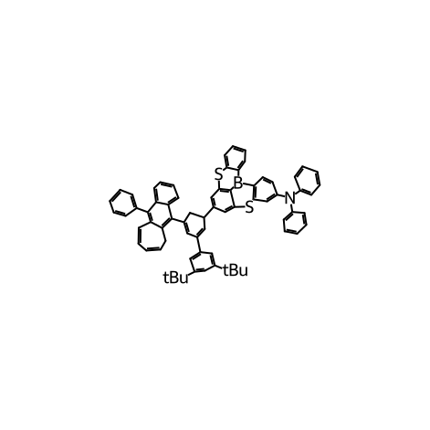 CC(C)(C)c1cc(C2=CC(c3cc4c5c(c3)Sc3cc(N(c6ccccc6)c6ccccc6)ccc3B5c3ccccc3S4)CC(c3c4c(c(-c5ccccc5)c5ccccc35)C=CC=CC4)=C2)cc(C(C)(C)C)c1